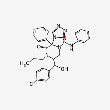 CCCN1C(=O)C(c2ccccn2)(n2cnnc2)N(C(=O)Nc2ccccc2)CC1C(O)c1ccc(Cl)cc1